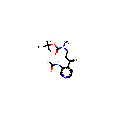 C=C(CCN(C)C(=O)OC(C)(C)C)c1ccncc1NC(C)=O